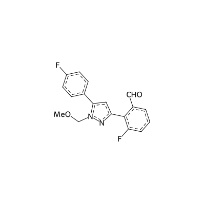 COCn1nc(-c2c(F)cccc2C=O)cc1-c1ccc(F)cc1